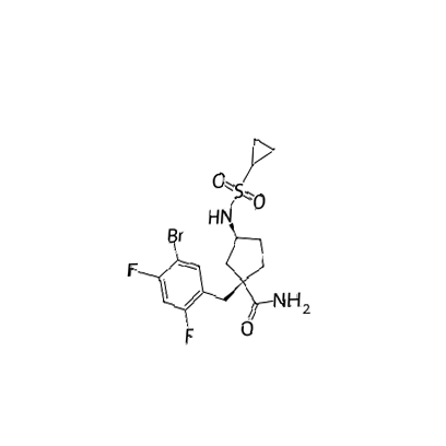 NC(=O)[C@@]1(Cc2cc(Br)c(F)cc2F)CC[C@H](NS(=O)(=O)C2CC2)C1